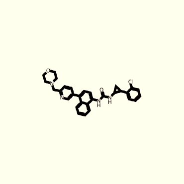 O=C(Nc1ccc(-c2ccc(CN3CCOCC3)nc2)c2ccccc12)NC1CC1c1ccccc1Cl